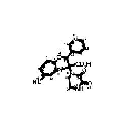 CCCC(C(=O)O)(C(Oc1ccc(C#N)cc1)c1cccnc1)N1CCNC(=O)C1=O